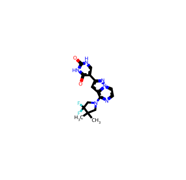 CC1(C)CN(c2nccn3nc(-c4c[nH]c(=O)[nH]c4=O)cc23)CC1(F)F